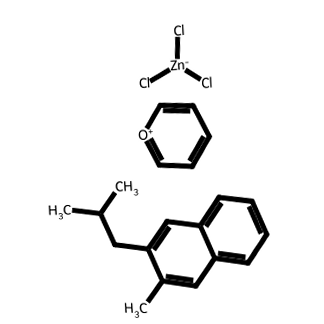 Cc1cc2ccccc2cc1CC(C)C.[Cl][Zn-]([Cl])[Cl].c1cc[o+]cc1